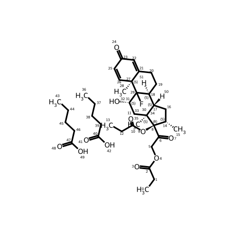 CCC(=O)OCC(=O)[C@@]1(OC(=O)CC)[C@@H](C)C[C@H]2[C@@H]3CCC4=CC(=O)C=C[C@]4(C)C3(F)[C@@H](O)C[C@@]21C.CCCCC(=O)O.CCCCC(=O)O